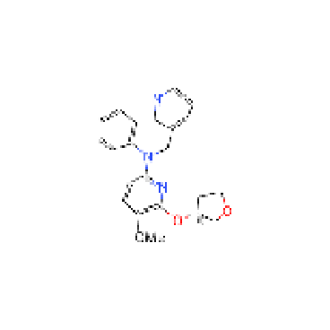 COc1ccc(N(Cc2cccnc2)c2ccccc2)nc1O[C@@H]1CCOC1